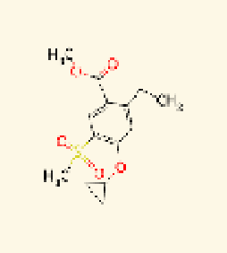 CCc1cc(OC2CC2)c(S(C)(=O)=O)cc1C(=O)OC